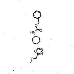 COCc1nnc([C@H]2CC[C@H](NC(=O)OCc3ccccc3)CC2)o1